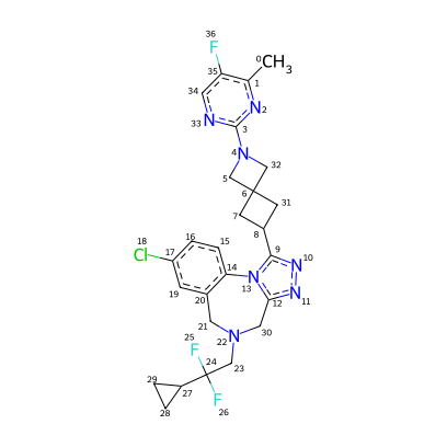 Cc1nc(N2CC3(CC(c4nnc5n4-c4ccc(Cl)cc4CN(CC(F)(F)C4CC4)C5)C3)C2)ncc1F